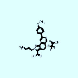 COc1ccc(-c2cc3c(cn2)CCc2c-3nn(CCCN)c2C(=O)O)cc1.O=C(O)C(F)(F)F